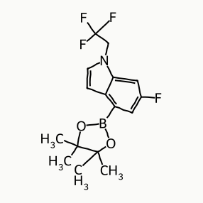 CC1(C)OB(c2cc(F)cc3c2ccn3CC(F)(F)F)OC1(C)C